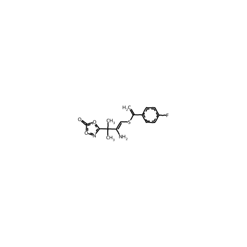 C=C(S/C=C(\N)C(C)(C)c1noc(=O)o1)c1ccc(F)cc1